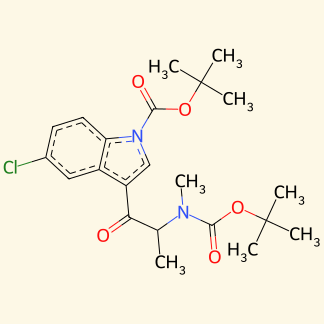 CC(C(=O)c1cn(C(=O)OC(C)(C)C)c2ccc(Cl)cc12)N(C)C(=O)OC(C)(C)C